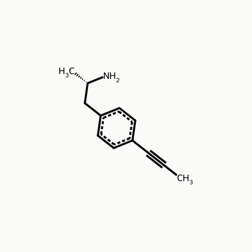 CC#Cc1ccc(C[C@H](C)N)cc1